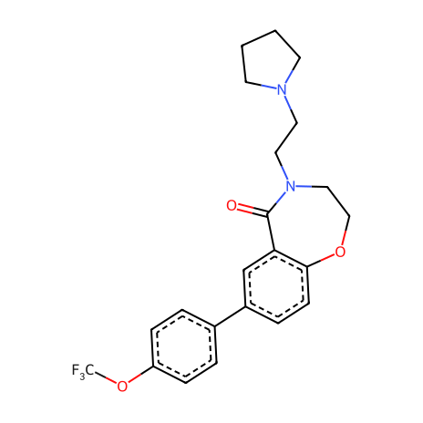 O=C1c2cc(-c3ccc(OC(F)(F)F)cc3)ccc2OCCN1CCN1CCCC1